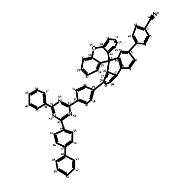 N#Cc1ccc(-c2ccc3c(c2)C2(c4ccccc4Oc4ccccc42)c2cc(-c4ccc(-c5nc(-c6ccccc6)nc(-c6ccc(-c7ccccc7)cc6)n5)cc4)ccc2-3)cc1